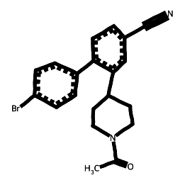 CC(=O)N1CCC(c2cc(C#N)ccc2-c2ccc(Br)cc2)CC1